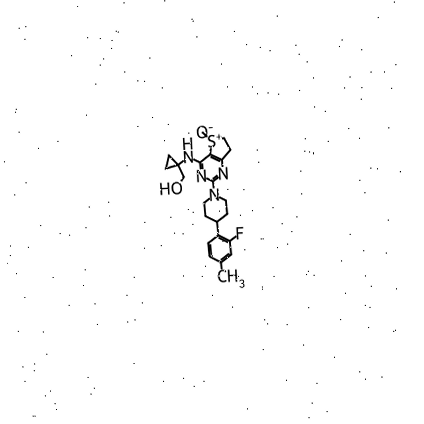 Cc1ccc(C2CCN(c3nc4c(c(NC5(CO)CC5)n3)[S+]([O-])CC4)CC2)c(F)c1